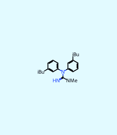 CCC(C)c1cccc(N(C(=N)NC)c2cccc(C(C)CC)c2)c1